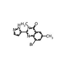 Cc1cc(Br)c2nc(-c3ccn[nH]3)n(C)c(=O)c2c1